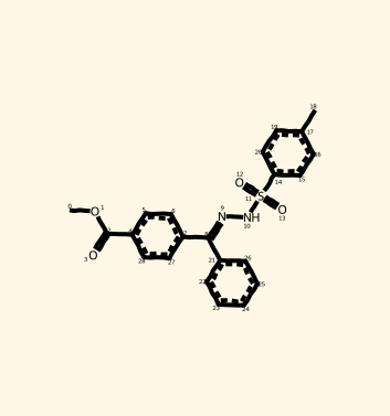 COC(=O)c1ccc(C(=NNS(=O)(=O)c2ccc(C)cc2)c2ccccc2)cc1